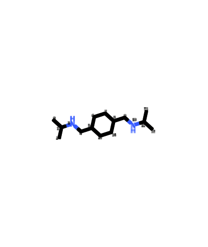 CC(C)NCC1CCC(CNC(C)C)CC1